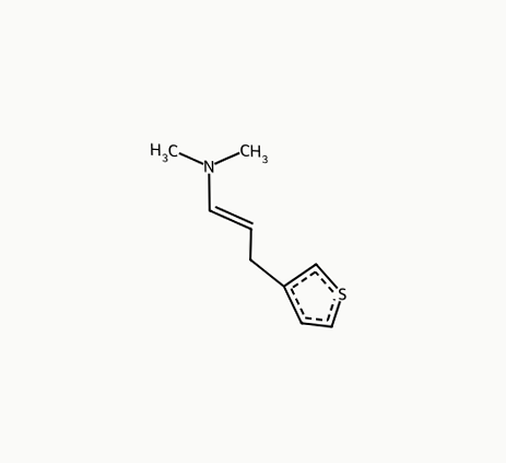 CN(C)C=CCc1ccsc1